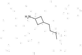 CSCCC1CC(N)C1